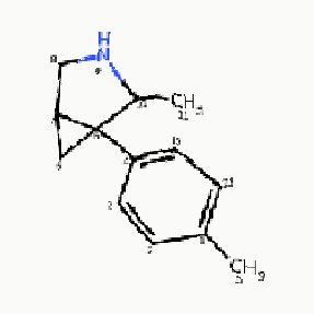 Cc1ccc(C23CC2CNC3C)cc1